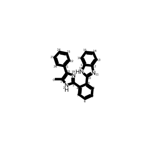 Cc1[nH]c(-c2ccccc2-c2nc3ccccc3[nH]2)nc1-c1ccccc1